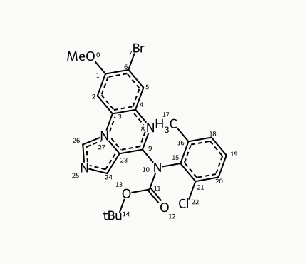 COc1cc2c(cc1Br)nc(N(C(=O)OC(C)(C)C)c1c(C)cccc1Cl)c1cncn12